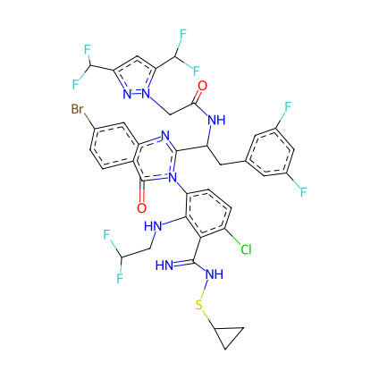 N=C(NSC1CC1)c1c(Cl)ccc(-n2c(C(Cc3cc(F)cc(F)c3)NC(=O)Cn3nc(C(F)F)cc3C(F)F)nc3cc(Br)ccc3c2=O)c1NCC(F)F